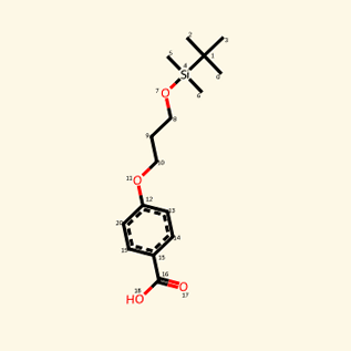 CC(C)(C)[Si](C)(C)OCCCOc1ccc(C(=O)O)cc1